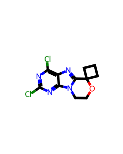 Clc1nc(Cl)c2nc3n(c2n1)CCOC31CCC1